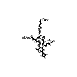 CCCCCCCCCCCCCCSSSCC(C)OC(=O)CCN(CCCN(C)C)CCC(OC(C)CSSSCCCCCCCCCCCCCC)=C1CCC1